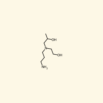 CC(O)CN(CCO)CCCN